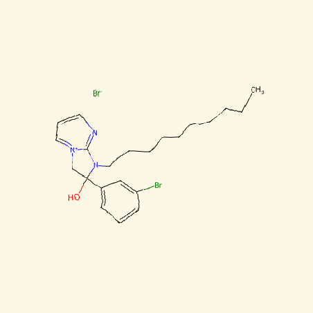 CCCCCCCCCCN1c2nccc[n+]2CC1(O)c1cccc(Br)c1.[Br-]